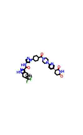 C[C@@]12Cc3[nH]nc(C(=O)Nc4cnn(C5CCC(C(=O)N6CCN(c7ccc([C@H]8CCC(=O)NC8=O)cn7)CC6)CC5)c4)c3C[C@@H]1C2(F)F